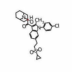 Cc1c(C(=O)CN2C3CCCC2CC(O)C3)c2ccc(CCS(=O)(=O)C3CC3)cc2n1-c1ccc(Cl)cc1